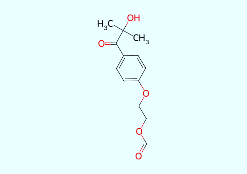 CC(C)(O)C(=O)c1ccc(OCCOC=O)cc1